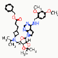 COc1ccc(CNc2ncnc3c2ccn3[C@@H]2O[C@H](CN(C(C)C)C3CC(CCC(=O)OCc4ccccc4)C3)C3OC(C)(C)O[C@H]32)c(OC)c1